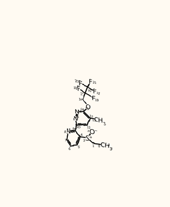 CC[S+]([O-])c1cccnc1-c1cc(C)c(OCC(F)(F)C(F)(F)F)nn1